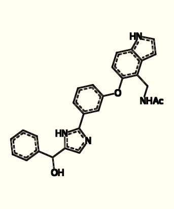 CC(=O)NCc1c(Oc2cccc(-c3ncc(C(O)c4ccccc4)[nH]3)c2)ccc2[nH]ccc12